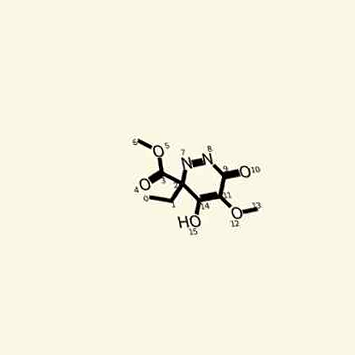 CCC1(C(=O)OC)N=NC(=O)C(OC)=C1O